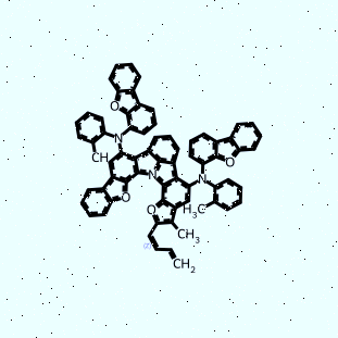 C=C/C=C\c1oc2c(cc(N(c3ccccc3C)c3cccc4c3oc3ccccc34)c3c4cccc5c6c(N(c7ccccc7C)c7cccc8c7oc7ccccc78)cc7c8ccccc8oc7c6n(c45)c23)c1C